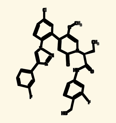 CC[C@@H](C(=O)Nc1ccc(CO)c(F)c1)n1cc(OC)c(-c2cc(Cl)ccc2-n2cc(-c3cccc(F)c3)nn2)cc1=O